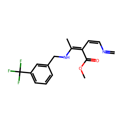 C=N/C=C\C(C(=O)OC)=C(/C)NCc1cccc(C(F)(F)F)c1